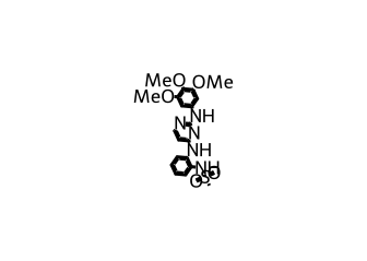 COc1cc(Nc2nccc(Nc3ccccc3NS(C)(=O)=O)n2)cc(OC)c1OC